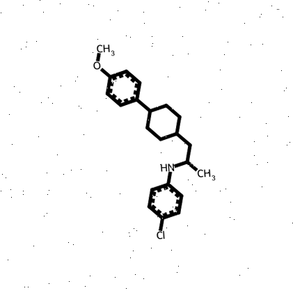 COc1ccc(C2CCC(CC(C)Nc3ccc(Cl)cc3)CC2)cc1